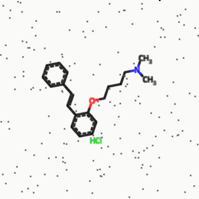 CN(C)CCCCOc1ccccc1C=Cc1ccccc1.Cl